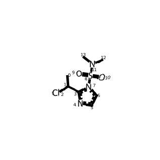 CC(Cl)c1nccn1S(=O)(=O)N(C)C